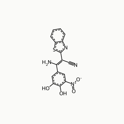 N#C/C(=C(/N)c1cc(O)c(O)c([N+](=O)[O-])c1)c1nc2ccccc2s1